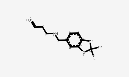 C=CCCNCc1ccc2c(c1)OC(F)(F)O2